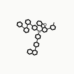 Cc1cccc(-c2ccc(N(c3ccc(-c4ccc(-c5cccc6ccccc56)cc4)cc3)c3ccc(-c4ccccc4-c4ccccc4-c4ccccc4)cc3)c3c2oc2ccccc23)c1